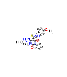 CCCCn1c(N)c(C(=S)NCc2ccc(OC)cc2)c(=O)n(C2CCCC2)c1=O